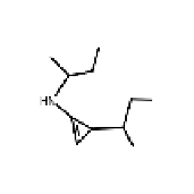 CCC(C)NC1=CC1C(C)CC